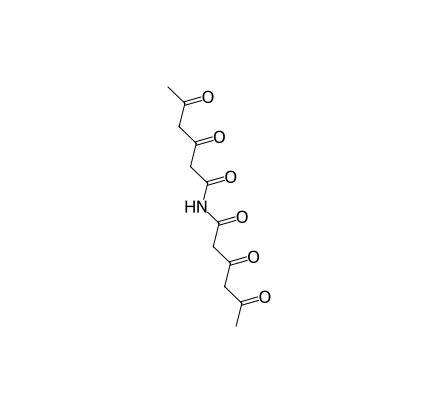 CC(=O)CC(=O)CC(=O)NC(=O)CC(=O)CC(C)=O